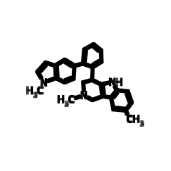 Cc1ccc2[nH]c3c(c2c1)CN(C)CC3c1ccccc1-c1ccc2c(ccn2C)c1